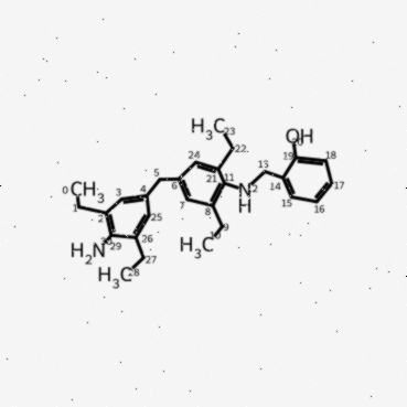 CCc1cc(Cc2cc(CC)c(NCc3ccccc3O)c(CC)c2)cc(CC)c1N